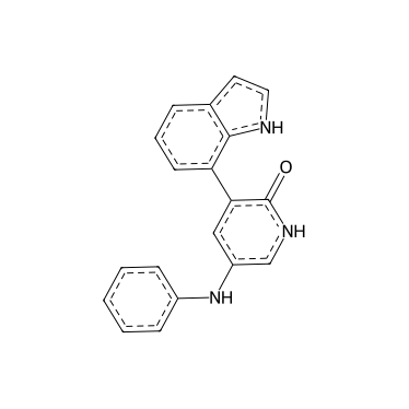 O=c1[nH]cc(Nc2ccccc2)cc1-c1cccc2cc[nH]c12